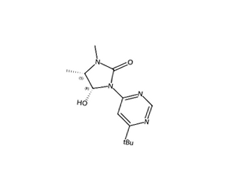 C[C@H]1[C@@H](O)N(c2cc(C(C)(C)C)ncn2)C(=O)N1C